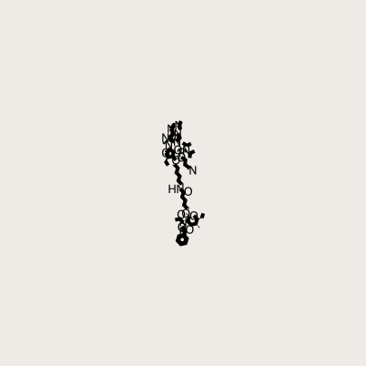 CC[C@H]1O[C@@H](n2cnc3c(/N=C\N(C)C)ncnc32)[C@@H](OP(OCCC#N)N(C(C)C)C(C)C)C1OCCCCCCNC(=O)CCCCO[C@@H]1O[C@H](CC)[C@H](C)[C@H](OC(=O)c2ccccc2)[C@H]1NC(C)=O